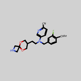 COc1ccc(CN(CCC2COC3(CNC3)OC2)c2ccc(C#N)nc2)cc1F